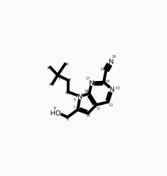 CC(C)(C)CCn1c(CO)cc2cnc(C#N)nc21